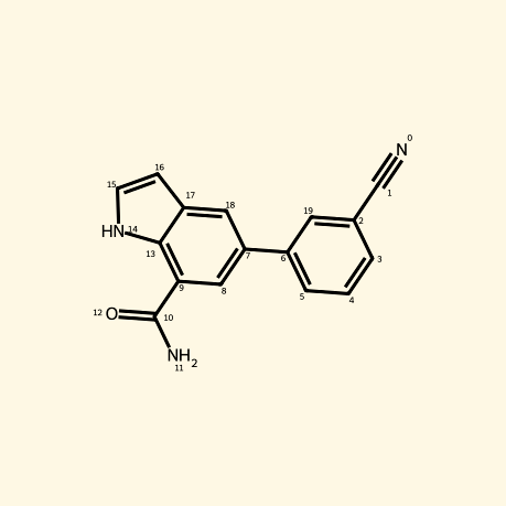 N#Cc1cccc(-c2cc(C(N)=O)c3[nH]ccc3c2)c1